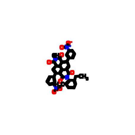 CCc1cccc(C)c1N1C(=O)c2cc(-c3cccc([N+](=O)[O-])c3)c3c4c(cc(-c5cccc([N+](=O)[O-])c5)c(c24)C1=O)C(=O)N(C)C3=O